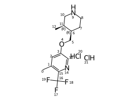 Cc1cc(OC[C@@H]2CCNC[C@@H]2C)cnc1C(F)(F)F.Cl.Cl